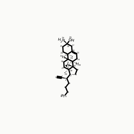 C#C[C@H](CCCC(C)C)[C@H]1CC[C@@]2(N=C)[C@@H]3CC=C4C[C@@](N)(O)CC[C@]4(C)[C@H]3CC[C@]12C